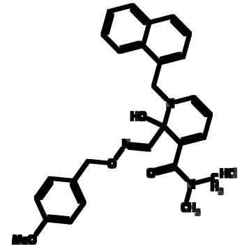 COc1ccc(CON=CC2(O)C(C(=O)N(C)C)=CC=CN2Cc2cccc3ccccc23)cc1.Cl